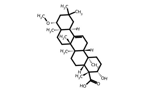 CO[C@@H]1CC(C)(C)C[C@H]2C3=CC[C@@H]4[C@@]5(C)CC[C@H](O)[C@](C)(C(=O)O)[C@@H]5CC[C@@]4(C)[C@]3(C)CC[C@@]12C